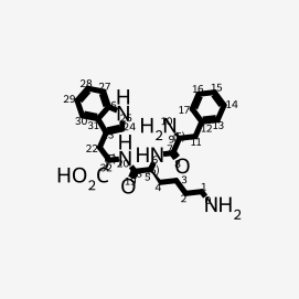 NCCCC[C@H](NC(=O)[C@@H](N)Cc1ccccc1)C(=O)N[C@@H](Cc1c[nH]c2ccccc12)C(=O)O